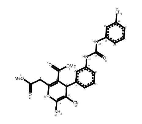 COC(=O)CC1=C(C(=O)OC)C(c2cccc(NC(=O)Nc3cccc(C(F)(F)F)c3)c2)C(C#N)=C(N)O1